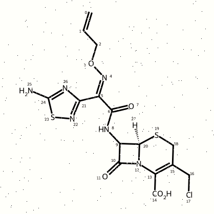 C=CCO/N=C(/C(=O)NC1C(=O)N2C(C(=O)O)=C(CCl)CS[C@H]12)c1nsc(N)n1